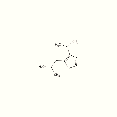 CC(C)Cc1sccc1C(C)C